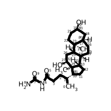 CC(CCC(=O)NC(N)=O)[C@H]1CC[C@H]2[C@@H]3CC[C@@H]4C[C@H](O)CC[C@]4(C)[C@H]3C[C@H](O)[C@]12C